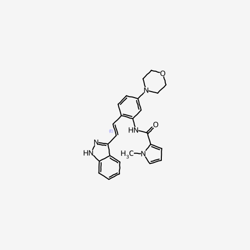 Cn1cccc1C(=O)Nc1cc(N2CCOCC2)ccc1/C=C/c1n[nH]c2ccccc12